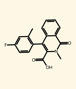 Cc1cc(F)ccc1-c1c(C(=O)O)n(C)c(=O)c2ccccc12